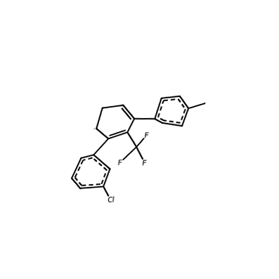 Cc1ccc(C2=CC[CH]C(c3cccc(Cl)c3)=C2C(F)(F)F)cc1